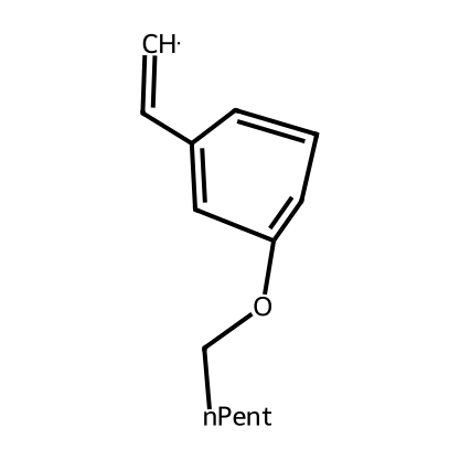 [CH]=Cc1cccc(OCCCCCC)c1